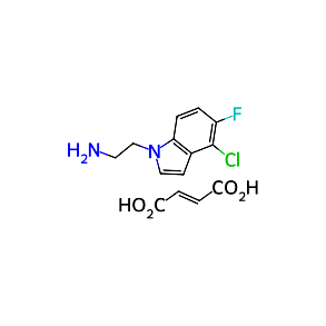 NCCn1ccc2c(Cl)c(F)ccc21.O=C(O)C=CC(=O)O